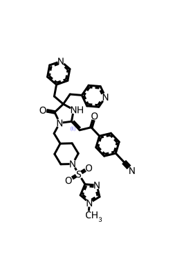 Cn1cnc(S(=O)(=O)N2CCC(CN3C(=O)C(Cc4ccncc4)(Cc4ccncc4)N/C3=C\C(=O)c3ccc(C#N)cc3)CC2)c1